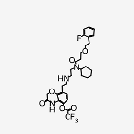 O=C1COc2c(CCNCCN(C(=O)CCOCCc3ccccc3F)C3CCCCC3)ccc(OC(=O)C(F)(F)F)c2N1